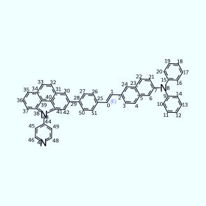 C(=C\c1ccc2cc(N(c3ccccc3)c3ccccc3)ccc2c1)/c1ccc(-c2cc3ccc4cccc5c4c3c(c2)n5-c2ccncc2)cc1